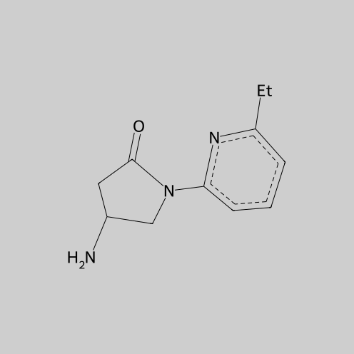 CCc1cccc(N2CC(N)CC2=O)n1